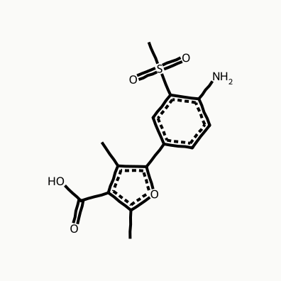 Cc1oc(-c2ccc(N)c(S(C)(=O)=O)c2)c(C)c1C(=O)O